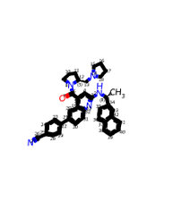 C[C@@H](Nc1cc(C(=O)N2CCC[C@H]2CN2CCCC2)c2cc(-c3ccc(C#N)cc3)ccc2n1)c1ccc2ccccc2c1